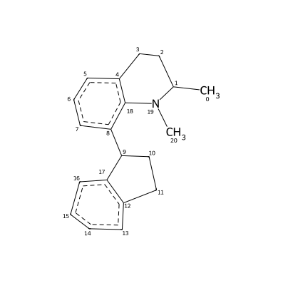 CC1CCc2cccc(C3CCc4ccccc43)c2N1C